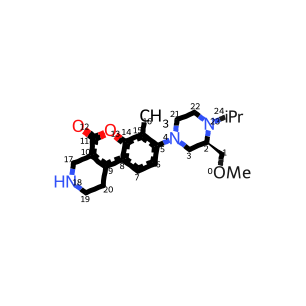 COC[C@H]1CN(c2ccc3c4c(c(=O)oc3c2C)CNCC4)CCN1C(C)C